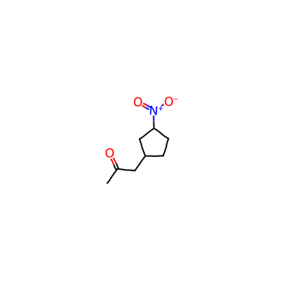 CC(=O)CC1CCC([N+](=O)[O-])C1